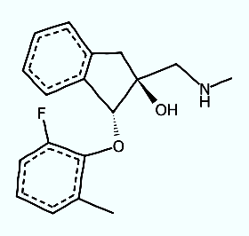 CNC[C@@]1(O)Cc2ccccc2[C@H]1Oc1c(C)cccc1F